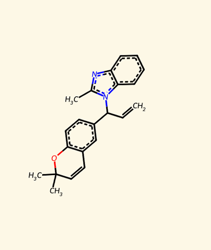 C=CC(c1ccc2c(c1)C=CC(C)(C)O2)n1c(C)nc2ccccc21